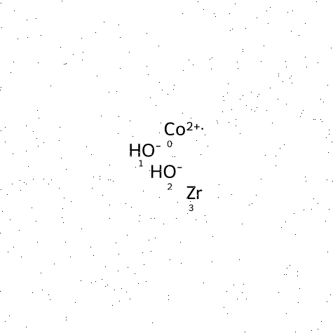 [Co+2].[OH-].[OH-].[Zr]